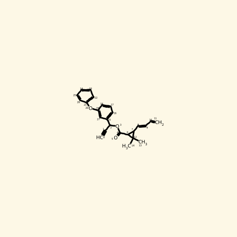 C#CC(OC(=O)C1C(C=CC=C)C1(C)C)c1cccc(Oc2ccccc2)c1